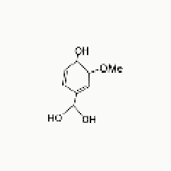 COC1C=C(C(O)O)C=CC1O